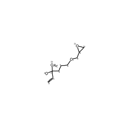 C=CC([O])(CCCOCC1CO1)OC(C)=O